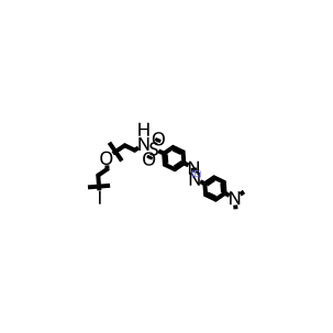 CN(C)c1ccc(/N=N/c2ccc(S(=O)(=O)NCCC(C)(C)OCCC(C)(C)I)cc2)cc1